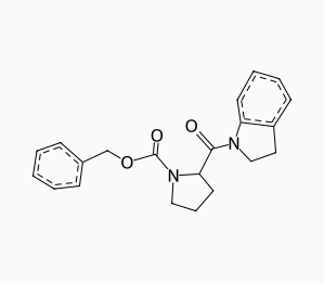 O=C(C1CCCN1C(=O)OCc1ccccc1)N1CCc2ccccc21